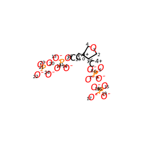 C1CCOC1.O=P([O-])([O-])[O-].O=P([O-])([O-])[O-].O=P([O-])([O-])[O-].O=P([O-])([O-])[O-].[C+4].[C+4].[C+4]